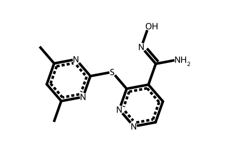 Cc1cc(C)nc(Sc2nnccc2C(N)=NO)n1